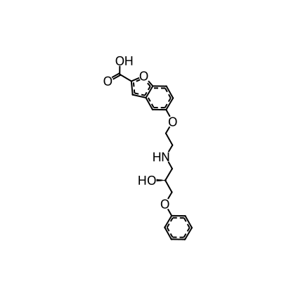 O=C(O)c1cc2cc(OCCNC[C@H](O)COc3ccccc3)ccc2o1